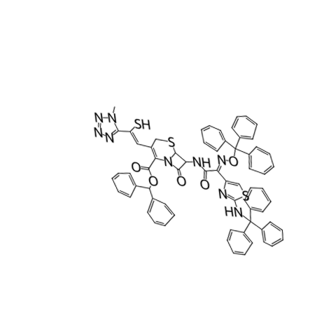 Cn1nnnc1C(S)=CC1=C(C(=O)OC(c2ccccc2)c2ccccc2)N2C(=O)C(NC(=O)C(=NOC(c3ccccc3)(c3ccccc3)c3ccccc3)c3csc(NC(c4ccccc4)(c4ccccc4)c4ccccc4)n3)C2SC1